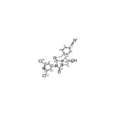 N#Cc1ccc(C[C@]23C[C@@H](O)CN2C(=O)N(c2cc(Cl)nc(Cl)c2)C3=O)cc1